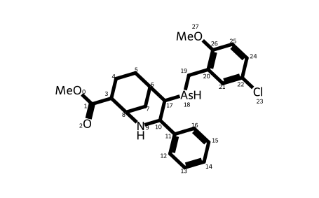 COC(=O)C1CCC2CC1NC(c1ccccc1)C2[AsH]Cc1cc(Cl)ccc1OC